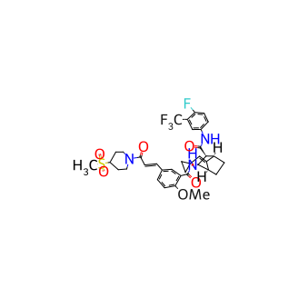 COc1ccc(/C=C/C(=O)N2CCC(S(C)(=O)=O)CC2)cc1C(=O)N[C@H]1[C@@H](C(=O)Nc2ccc(F)c(C(F)(F)F)c2)[C@H]2CC[C@@H]1/C2=C\C1CC1